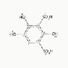 O=S(=O)(O)c1cc(O)c(O)c(S(=O)(=O)O)c1O